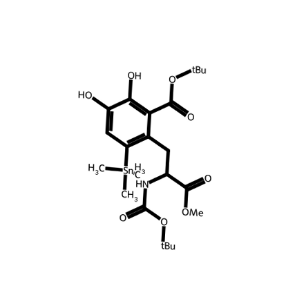 COC(=O)C(Cc1[c]([Sn]([CH3])([CH3])[CH3])cc(O)c(O)c1C(=O)OC(C)(C)C)NC(=O)OC(C)(C)C